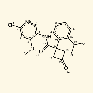 COc1cc(Cl)ncc1NC(=O)C1(c2ccccc2C(C)C)CC(=O)C1